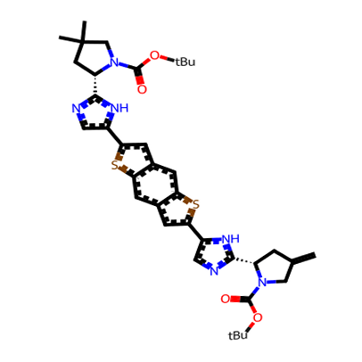 C=C1C[C@@H](c2ncc(-c3cc4cc5sc(-c6cnc([C@@H]7CC(C)(C)CN7C(=O)OC(C)(C)C)[nH]6)cc5cc4s3)[nH]2)N(C(=O)OC(C)(C)C)C1